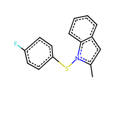 Cc1cc2ccccc2n1Sc1ccc(F)cc1